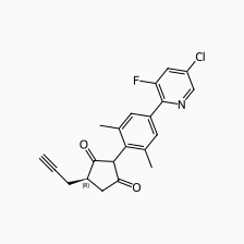 C#CC[C@@H]1CC(=O)C(c2c(C)cc(-c3ncc(Cl)cc3F)cc2C)C1=O